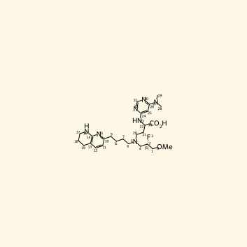 COC[C@@H](F)CN(CCCCc1ccc2c(n1)NCCC2)CCC(Nc1cc(N(C)C)ncn1)C(=O)O